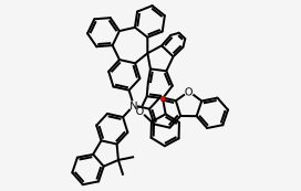 CC1(C)c2ccccc2-c2ccc(N(c3ccc4c(c3)C3(c5ccccc5-c5ccccc5-4)c4ccccc4-c4cc5c(cc43)oc3ccccc35)c3ccc4c(c3)oc3ccccc34)cc21